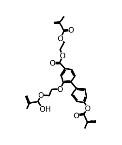 C=C(C)C(=O)OCCOC(=O)c1ccc(-c2ccc(OC(=O)C(=C)C)cc2)c(OCCOC(O)C(=C)C)c1